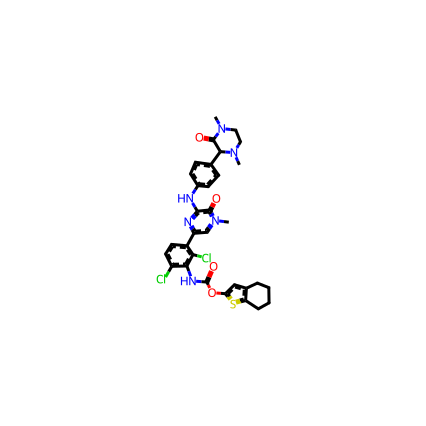 CN1CCN(C)C(c2ccc(Nc3nc(-c4ccc(Cl)c(NC(=O)Oc5cc6c(s5)CCCC6)c4Cl)cn(C)c3=O)cc2)C1=O